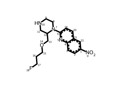 O=[N+]([O-])c1ccc2nc(N3CCNCC3COCCCF)ccc2c1